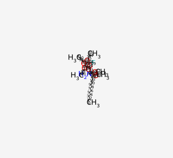 CCCCCCCCCCCCCC[C@H]1OC(C)(C)O[C@H]1[C@@H](N)CO[C@H]1OC(CF)[C@@H](OCCCC)C(OCCCC)C1OCCCC